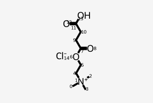 C[N+](C)(C)CCOC(=O)CCC(=O)O.[Cl-]